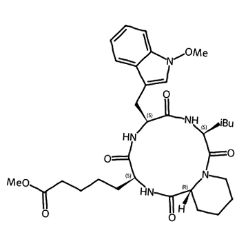 CCC(C)[C@@H]1NC(=O)[C@H](Cc2cn(OC)c3ccccc23)NC(=O)[C@H](CCCCC(=O)OC)NC(=O)[C@H]2CCCCN2C1=O